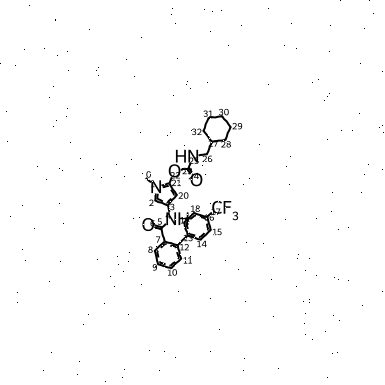 Cn1cc(NC(=O)c2ccccc2-c2ccc(C(F)(F)F)cc2)cc1OC(=O)NCC1CCCCC1